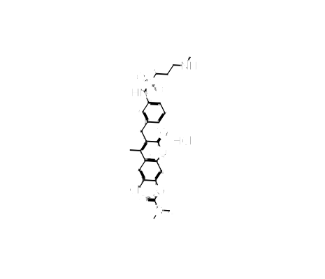 CNCCCS(=O)(=O)Nc1cccc(Cc2c(C)c3cc(Cl)c(OC(=O)N(C)C)cc3oc2=O)c1.Cl